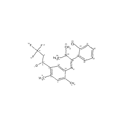 Cc1cc(C)c([S+]([O-])CC(F)(F)F)cc1/N=C(/c1ccccc1Cl)N(C)C